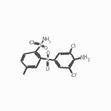 Cc1ccc(S(N)(=O)=O)c(S(=O)(=O)c2cc(Cl)c(N)c(Cl)c2)c1